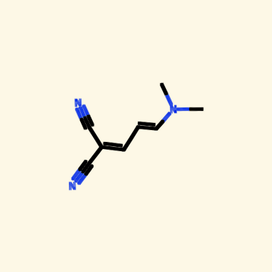 CN(C)/C=C/C=C(C#N)C#N